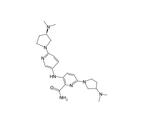 CN(C)C1CCN(c2ccc(Nc3ccc(N4CC[C@@H](N(C)C)C4)nc3)c(C(N)=O)n2)C1